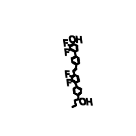 CCCC(O)c1ccc(-c2ccc(/C=C/c3ccc(-c4ccc(O)c(F)c4F)cc3)c(F)c2F)cc1